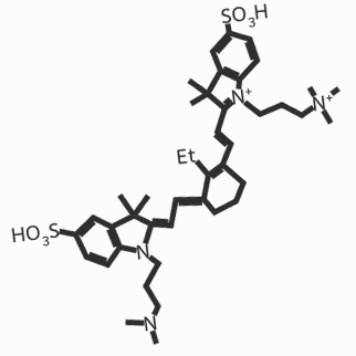 CCC1=C(/C=C/C2=[N+](CCC[N+](C)(C)C)c3ccc(S(=O)(=O)O)cc3C2(C)C)CCC/C1=C\C=C1\N(CCCN(C)C)c2ccc(S(=O)(=O)O)cc2C1(C)C